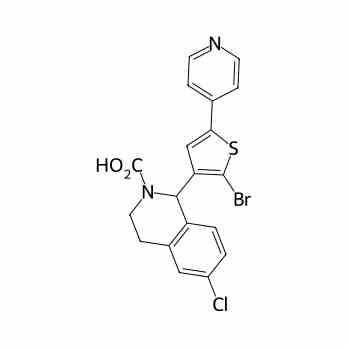 O=C(O)N1CCc2cc(Cl)ccc2C1c1cc(-c2ccncc2)sc1Br